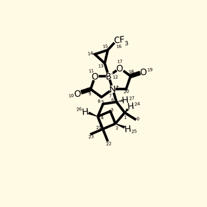 C[C@@H]1[C@H]2C[C@@H](C[C@H]1[N+]13CC(=O)O[B-]1(C1CC1C(F)(F)F)OC(=O)C3)C2(C)C